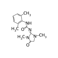 Cc1cccc(C)c1NC(=O)N=C1N(C)CC(=O)N1C